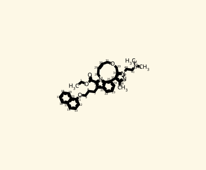 CCOC(=O)c1c(CCCOc2cccc3ccccc23)c2cccc3c2n1C/C=C\COCc1c-3c(C)nn1CCN(C)C